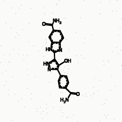 NC(=O)c1ccc(-c2n[nH]c(-c3nc4ccc(C(N)=O)cc4[nH]3)c2O)cc1